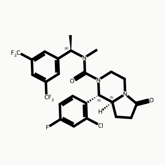 C[C@H](c1cc(C(F)(F)F)cc(C(F)(F)F)c1)N(C)C(=O)N1CCN2C(=O)CC[C@H]2[C@@H]1c1ccc(F)cc1Cl